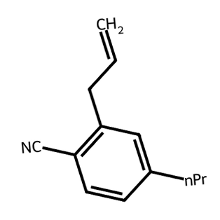 C=CCc1cc(CCC)ccc1C#N